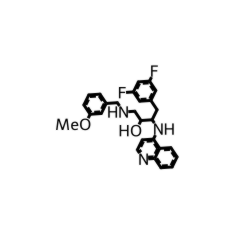 COc1cccc(CNCC(O)C(Cc2cc(F)cc(F)c2)Nc2ccnc3ccccc23)c1